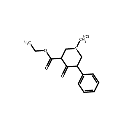 CCOC(=O)C1CN(C)CC(c2ccccc2)C1=O.Cl